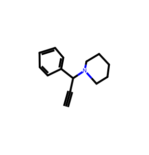 C#CC(c1ccccc1)N1CCCCC1